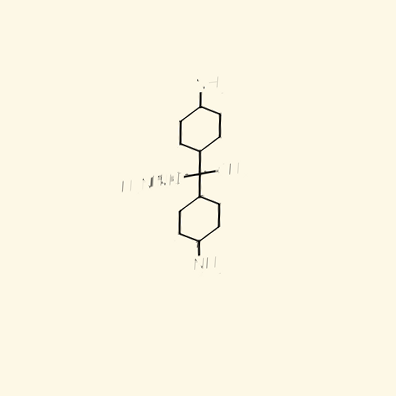 CC(C)(C1CCC(N)CC1)C1CCC(N)CC1.N.N